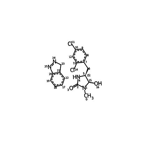 CN1C(=O)N[C@@H](Cc2ccc(Cl)cc2Cl)C1O.c1ccc2c(c1)CN=N2